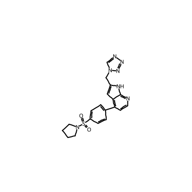 O=S(=O)(c1ccc(-c2ccnc3[nH]c(Cn4cnnn4)cc23)cc1)N1CCCC1